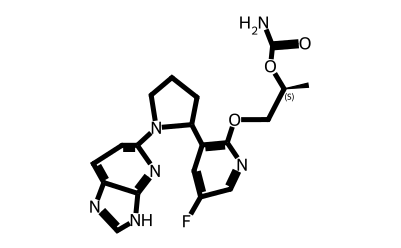 C[C@@H](COc1ncc(F)cc1C1CCCN1c1ccc2nc[nH]c2n1)OC(N)=O